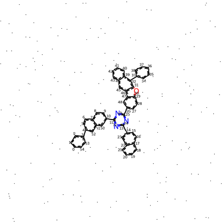 c1ccc(-c2ccc3ccc(-c4nc(-c5ccc6ccccc6c5)nc(-c5ccc6oc7c(-c8ccccc8)c8ccccc8cc7c6c5)n4)cc3c2)cc1